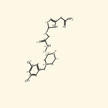 NC(=O)CC1=CSC(SCC(=O)NC[C@H]2CN(Cc3cc(Cl)cc(Cl)c3)CCO2)N1